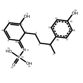 CC(CCC1C(O)=CC=CC1=NP(=O)(O)O)c1ccc(O)cc1